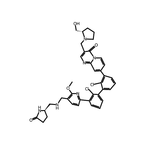 COc1nc(-c2cccc(-c3cccc(-c4ccn5c(=O)c(CN6CCC[C@H]6CO)cnc5c4)c3Cl)c2Cl)ccc1CNC[C@H]1CCC(=O)N1